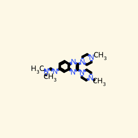 CN(C)C=Nc1ccc2nc(N3CCN(C)CC3)c(N3CCN(C)CC3)nc2c1